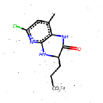 CCOC(=O)CCC1Nc2nc(Cl)cc(C)c2NC1=O